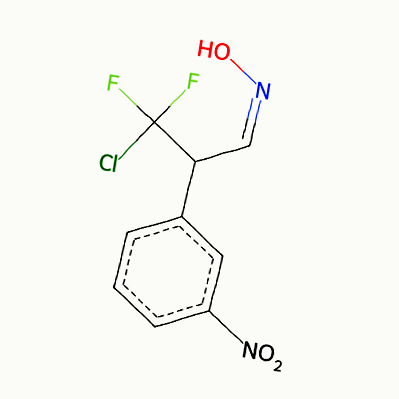 O=[N+]([O-])c1cccc(C(/C=N\O)C(F)(F)Cl)c1